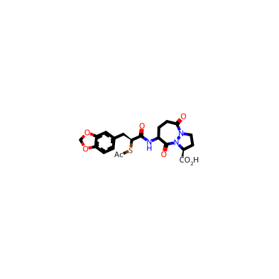 CC(=O)S[C@@H](Cc1ccc2c(c1)OCO2)C(=O)NC1CCC(=O)N2CC[C@@H](C(=O)O)N2C1=O